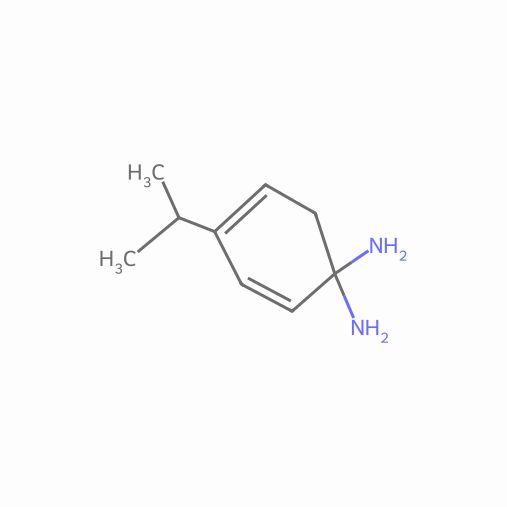 CC(C)C1=CCC(N)(N)C=C1